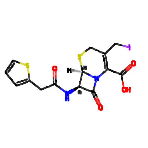 O=C(Cc1cccs1)N[C@@H]1C(=O)N2C(C(=O)O)=C(CI)CS[C@H]12